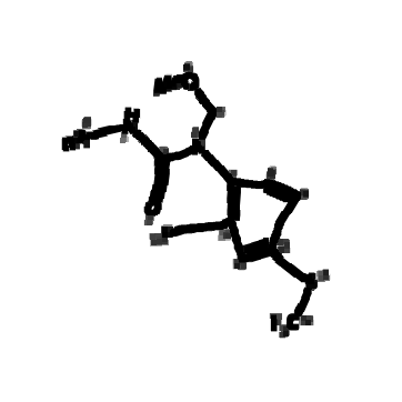 CCCNC(=O)N(COC)c1ccc(SC(F)(F)F)cc1F